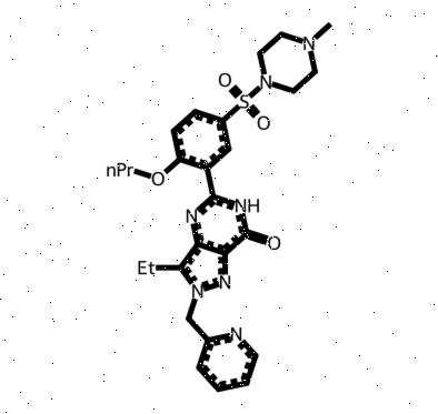 CCCOc1ccc(S(=O)(=O)N2CCN(C)CC2)cc1-c1nc2c(CC)n(Cc3ccccn3)nc2c(=O)[nH]1